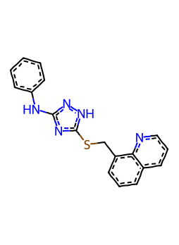 c1ccc(Nc2n[nH]c(SCc3cccc4cccnc34)n2)cc1